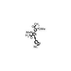 C=CC(=O)N1C[C@@H](n2nc(C#Cc3ccn4c(C#N)cnc4c3)c(C(N)=O)c2NC)C[C@@H]1COC